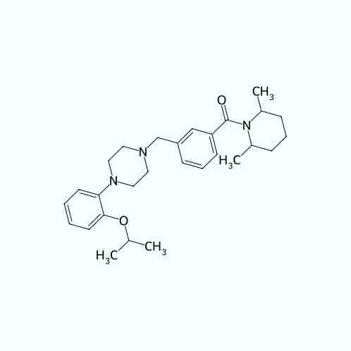 CC(C)Oc1ccccc1N1CCN(Cc2cccc(C(=O)N3C(C)CCCC3C)c2)CC1